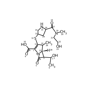 CC(O)C1C(=O)N2C(C(=O)O)=C(SC3CNC(C(=O)N(C)CCO)C3)C(C)[C@H]12